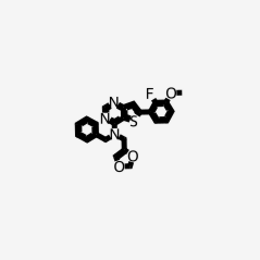 COc1cccc(-c2cc3ncnc(N(CC4=COCO4)Cc4ccccc4)c3s2)c1F